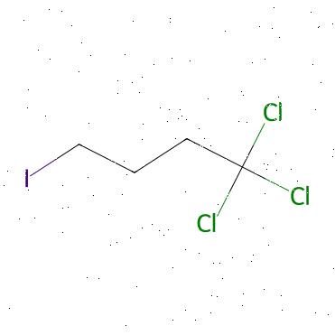 ClC(Cl)(Cl)CCCI